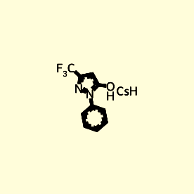 Oc1cc(C(F)(F)F)nn1-c1ccccc1.[CsH]